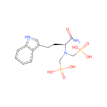 NC(=O)[C@H](CCc1c[nH]c2ccccc12)N(CP(=O)(O)O)CP(=O)(O)O